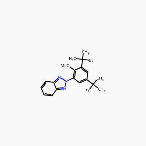 CCC(C)(C)c1cc(-n2nc3ccccc3n2)c(OC)c(C(C)(C)CC)c1